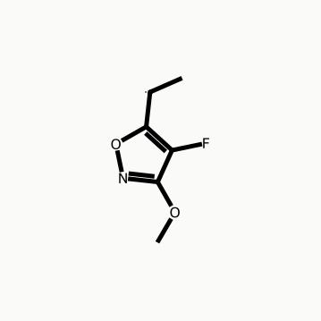 C[CH]c1onc(OC)c1F